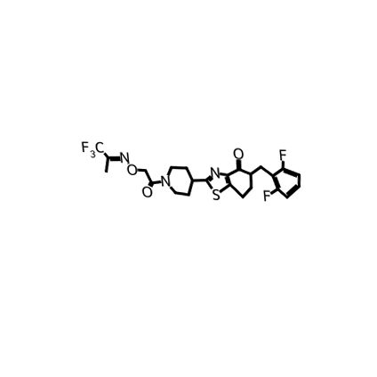 CC(=NOCC(=O)N1CCC(c2nc3c(s2)CCC(Cc2c(F)cccc2F)C3=O)CC1)C(F)(F)F